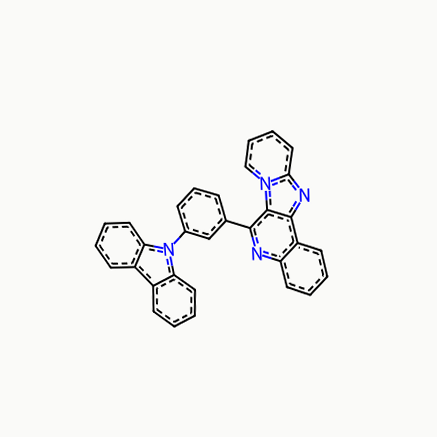 c1cc(-c2nc3ccccc3c3nc4ccccn4c23)cc(-n2c3ccccc3c3ccccc32)c1